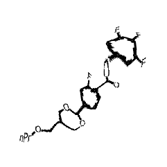 CCCOCC1COC(c2ccc(C(=O)Oc3cc(F)c(F)c(F)c3)c(F)c2)OC1